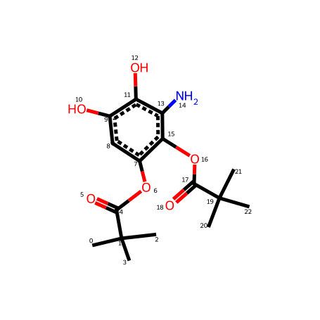 CC(C)(C)C(=O)Oc1cc(O)c(O)c(N)c1OC(=O)C(C)(C)C